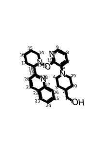 OCC1CCN(c2cccnc2ON2CCCCC2c2ccc3ccccc3n2)CC1